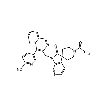 N#Cc1ccc(-c2c(CN3C(=O)C4(CCN(C(=O)C(F)(F)F)CC4)c4ccncc43)ncc3ccccc23)cn1